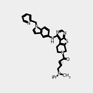 CC(C)N(C)C/C=C/C(=O)N1CCc2c(sc3ncnc(Nc4ccc5c(ccn5Cc5ccccn5)c4)c23)C1